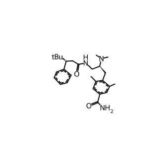 Cc1cc(C(N)=O)cc(C)c1C[C@@H](CNC(=O)C[C@@H](c1ccccc1)C(C)(C)C)N(C)C